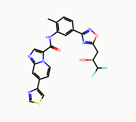 Cc1ccc(-c2noc(C[C@H](O)C(F)F)n2)cc1NC(=O)c1cnc2cc(-c3cscn3)ccn12